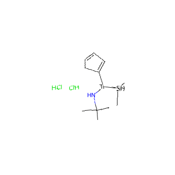 C[SiH](C)[Ti]([NH]C(C)(C)C)[C]1=CC=CC1.Cl.Cl